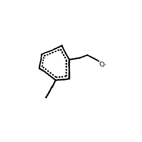 Cc1cccc(C[O])c1